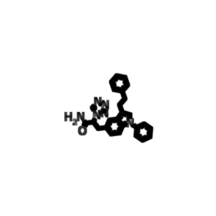 NC(=O)C(Cc1ccc2c(c1)c(CCc1ccccc1)cn2-c1ccccc1)n1cnnn1